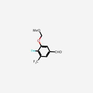 COCOc1cc(C=O)cc(C(F)(F)F)c1F